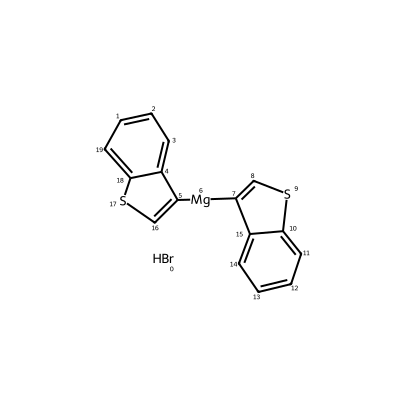 Br.c1ccc2[c]([Mg][c]3csc4ccccc34)csc2c1